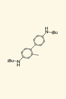 CCC(C)Nc1ccc(-c2ccc(NC(C)CC)cc2C)cc1